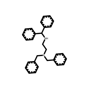 c1ccc(CN(CCNC(c2ccccc2)c2ccccc2)Cc2ccccc2)cc1